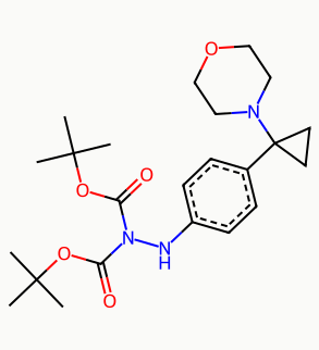 CC(C)(C)OC(=O)N(Nc1ccc(C2(N3CCOCC3)CC2)cc1)C(=O)OC(C)(C)C